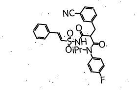 CC(C)N(C(=O)C(Cc1cccc(C#N)c1)C(=O)NS(=O)(=O)C=Cc1ccccc1)c1ccc(F)cc1